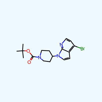 CC(C)(C)OC(=O)N1CCC(n2ccc3c(Br)ccnc32)CC1